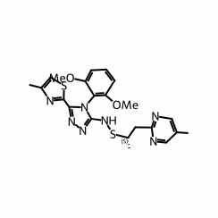 COc1cccc(OC)c1-n1c(NS[C@@H](C)Cc2ncc(C)cn2)nnc1-c1nc(C)cs1